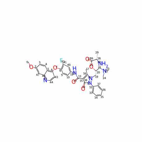 COc1ccc2c(Oc3ccc(NC(=O)c4c(C)n(C[C@@H](CN(C)C)OC(=O)[C@H](C)N)n(-c5ccccc5)c4=O)cc3F)ccnc2c1